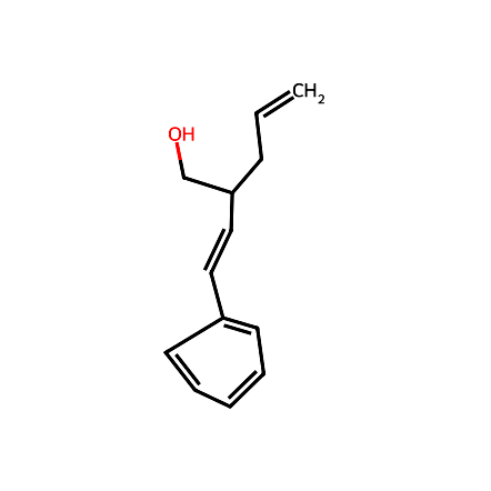 C=CCC(C=Cc1ccccc1)CO